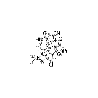 CC(C)C[C@@H](C(=O)N1C[C@]2(C[C@H]1C#N)C(=O)Nc1ccccc12)N(C)C(=O)c1cc(Cl)c2nn(C3CC3)cc2c1